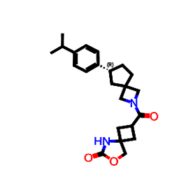 CC(C)c1ccc([C@@H]2CCC3(C2)CN(C(=O)C2CC4(COC(=O)N4)C2)C3)cc1